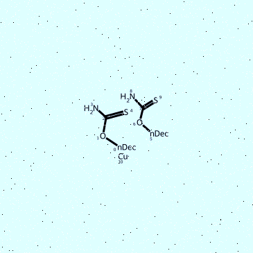 CCCCCCCCCCOC(N)=S.CCCCCCCCCCOC(N)=S.[Cu]